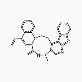 C=CC1=NC2C(=C)/N=C(/C)c3cnc4oc5ccccc5c4c3CCC2c2ccccc21